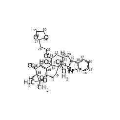 CC1(C)O[C@@]23CC[C@]4(C)[C@@]5(C)c6[nH]c7ccccc7c6C[C@@H]5C[C@H](OCCC5OCCO5)[C@@]4(O)C2=CC(=O)[C@@H]1O3